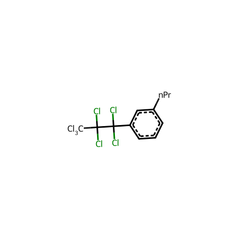 [CH2]CCc1cccc(C(Cl)(Cl)C(Cl)(Cl)C(Cl)(Cl)Cl)c1